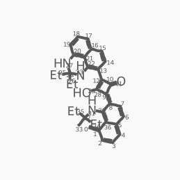 C=c1cccc2cc/c(=C3\C(=O)C(c4ccc5cccc6c5c4NC(CC)(CC)N6)=C3O)c(NC(C)(CC)CC)c12